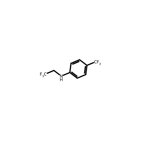 FC(F)(F)CNc1ccc(C(F)(F)F)cc1